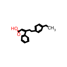 CCc1ccc(CC/C(=C/C(=O)O)c2ccccc2)cc1